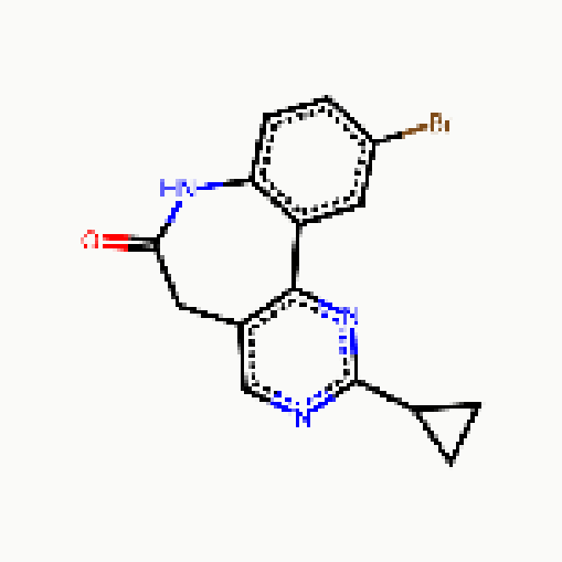 O=C1Cc2cnc(C3CC3)nc2-c2cc(Br)ccc2N1